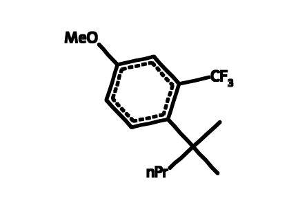 CCCC(C)(C)c1ccc(OC)cc1C(F)(F)F